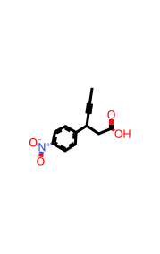 CC#CC(CC(=O)O)c1ccc([N+](=O)[O-])cc1